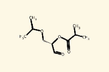 CC(C)OC[C@@H](C=O)OC(=O)C(C)C